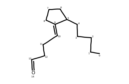 CCCCCC1CCCC1=CCCC=O